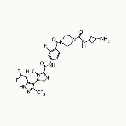 Cn1c(-c2c(C(F)(F)F)n[nH]c2CC(F)F)cnc1C(=O)Nc1ccc(C(=O)N2CCN(C(=O)NC3CC(N)C3)CC2)c(F)c1